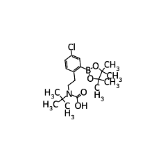 CC(C)(C)N(CCc1ccc(Cl)cc1B1OC(C)(C)C(C)(C)O1)C(=O)O